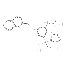 CCC(OC)(c1cc(NS(C)(=O)=O)cc(OCc2ccc3ccccc3c2)c1)c1nccs1